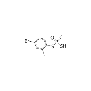 Cc1cc(Br)ccc1SP(=O)(S)Cl